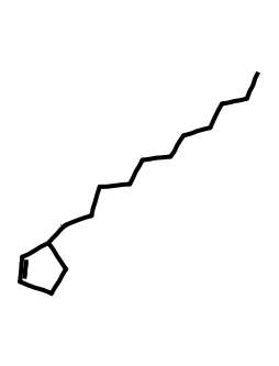 CCCCCCCCCC[CH]C1C=CCC1